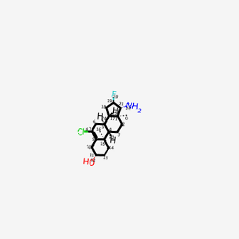 C[C@]12CC[C@H]3[C@@H](CC(Cl)=C4C[C@@H](O)CC[C@@]43C)[C@@H]1C[C@@H](F)[C@@H]2N